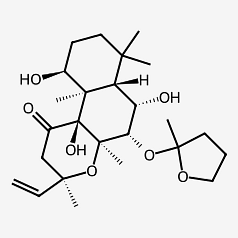 C=C[C@@]1(C)CC(=O)[C@]2(O)[C@@]3(C)[C@@H](O)CCC(C)(C)[C@@H]3[C@H](O)[C@H](OC3(C)CCCO3)[C@@]2(C)O1